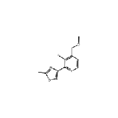 COCc1ccnc(-c2noc(C)n2)c1F